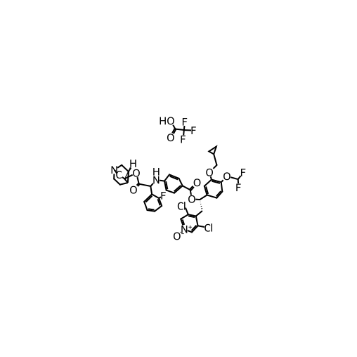 O=C(O)C(F)(F)F.O=C(O[C@@H](Cc1c(Cl)c[n+]([O-])cc1Cl)c1ccc(OC(F)F)c(OCC2CC2)c1)c1ccc(NC(C(=O)O[C@H]2CN3CCC2CC3)c2ccccc2F)cc1